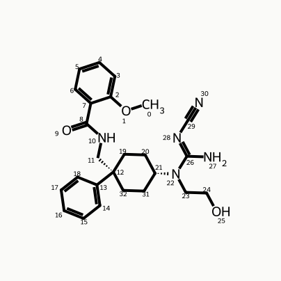 COc1ccccc1C(=O)NC[C@]1(c2ccccc2)CC[C@H](N(CCO)C(N)=NC#N)CC1